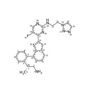 C[C@@H](CN)c1ccccc1-c1cccc2cc(-c3nc(NCCn4ccnn4)ncc3F)sc12